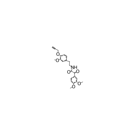 C#CCOc1ccc(CCNC(=O)C(=O)c2ccc(OC)c(OC)c2)cc1OC